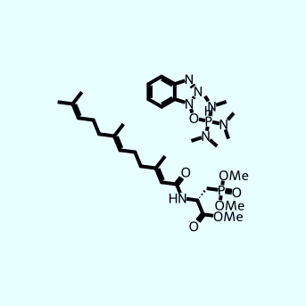 CN(C)[PH](On1nnc2ccccc21)(N(C)C)N(C)C.COC(=O)[C@@H](CP(=O)(OC)OC)NC(=O)/C=C(\C)CC/C=C(\C)CCC=C(C)C